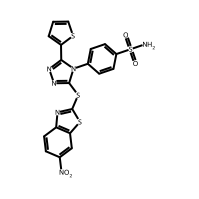 NS(=O)(=O)c1ccc(-n2c(Sc3nc4ccc([N+](=O)[O-])cc4s3)nnc2-c2cccs2)cc1